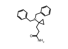 NC(=O)CCC1(N(Cc2ccccc2)Cc2ccccc2)CC1